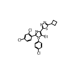 CCc1c(-c2nnc(C3CCC3)s2)nc(-c2ccc(Cl)cc2Cl)n1-c1ccc(Cl)cc1